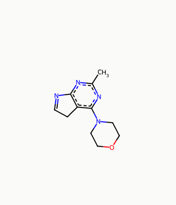 Cc1nc2c(c(N3CCOCC3)n1)CC=N2